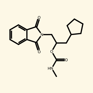 CNC(=O)OC(CC1CCCC1)CN1C(=O)c2ccccc2C1=O